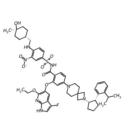 CCOc1nc2[nH]cc(F)c2cc1Oc1cc(N2CCC3(CC2)CN([C@H]2CCC[C@H]2c2ccccc2C(C)C)C3)ccc1C(=O)NS(=O)(=O)c1ccc(NC[C@H]2CC[C@](C)(O)CC2)c([N+](=O)[O-])c1